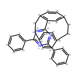 c1ccc(-c2nc(-c3ccccc3)nc(-c3cc4ccc3CCc3ccc(cc3)CC4)n2)cc1